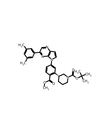 COC(=O)c1ccc(-n2ccc3ncc(-c4cc(C)cc(C)c4)nc32)cc1[C@@H]1CCCN(C(=O)OC(C)(C)C)C1